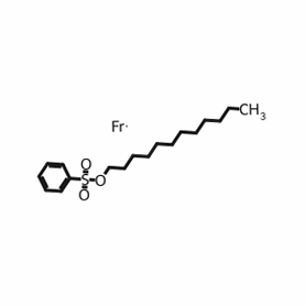 CCCCCCCCCCCCOS(=O)(=O)c1ccccc1.[Fr]